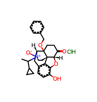 CC(C1CC1)[N+]1([O-])CC[C@]23c4c5ccc(O)c4O[C@H]2C(=O)CC[C@@]3(OCc2ccccc2)[C@H]1C5.Cl